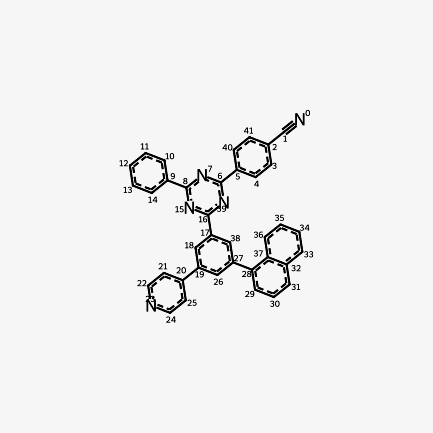 N#Cc1ccc(-c2nc(-c3ccccc3)nc(-c3cc(-c4ccncc4)cc(-c4cccc5ccccc45)c3)n2)cc1